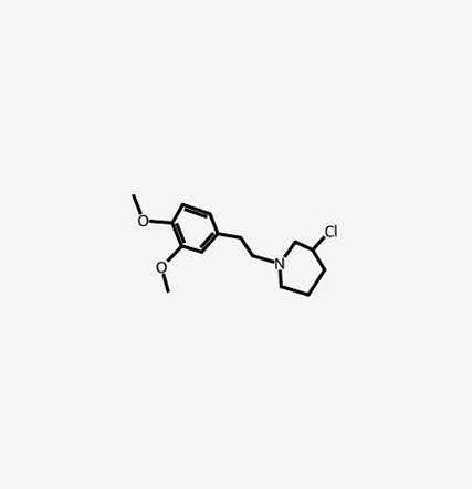 COc1ccc(CCN2CCCC(Cl)C2)cc1OC